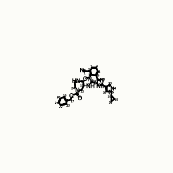 N#Cc1cccc2c1nc(N[C@@H]1CN(C(=O)OCc3ccccc3)CCNC1=O)n1nc(-c3cnn(C4CC4)c3)nc21